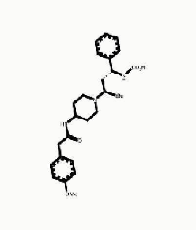 COc1ccc(CC(=O)NC2CCN(C(C[C@@H](NC(=O)O)c3ccccc3)C(C)(C)C)CC2)cc1